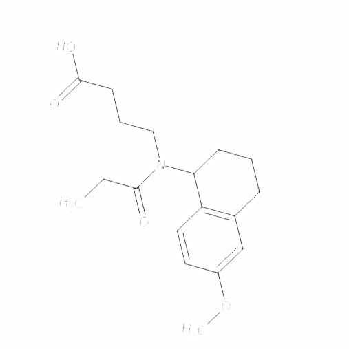 CCC(=O)N(CCCC(=O)O)C1CCCc2cc(OC)ccc21